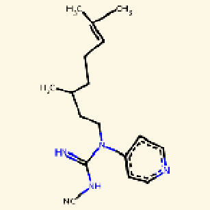 CC(C)=CCCC(C)CCN(C(=N)NC#N)c1ccncc1